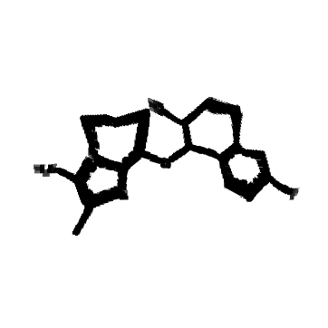 Cc1nc2c(OC3c4ccc(F)cc4CCC3O)cccn2c1N